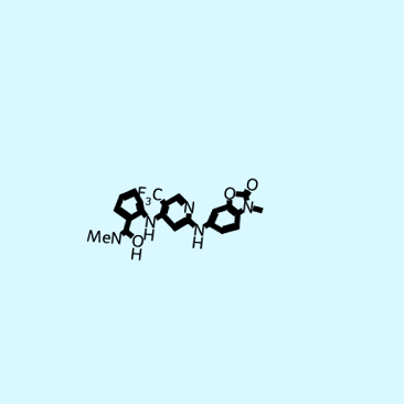 CNC(O)c1ccccc1Nc1cc(Nc2ccc3c(c2)oc(=O)n3C)ncc1C(F)(F)F